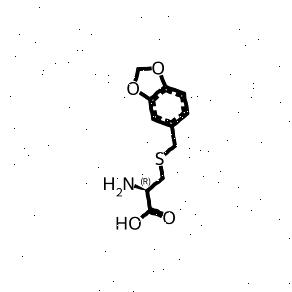 N[C@@H](CSCc1ccc2c(c1)OCO2)C(=O)O